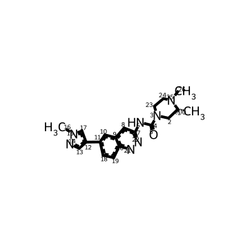 C[C@@H]1CN(C(=O)Nc2cc3cc(-c4cnn(C)c4)ccc3nn2)CCN1C